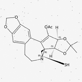 CC(=O)OC1=C2c3cc4c(cc3CCN3C[C@H](S)C[C@]23[C@@H]2OC(C)(C)O[C@H]12)OCO4